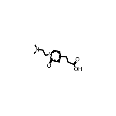 CN(C)CCn1ccc(CCC(=O)O)cc1=O